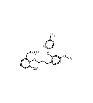 COc1cccc(CC(=O)O)c1OCCCc1ccc(OC(C)C)cc1Oc1ccc(C(F)(F)F)cn1